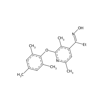 CCC(=NO)c1cc(C)nc(Oc2c(C)cc(C)cc2C)c1C